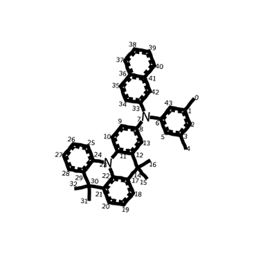 Cc1cc(C)cc(N(c2ccc3c(c2)C(C)(C)c2cccc4c2N3c2ccccc2C4(C)C)c2ccc3ccccc3c2)c1